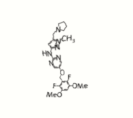 COc1cc(OC)c(F)c(COc2cnc(Nc3cc(CN4CCCC4)n(C)n3)nc2)c1F